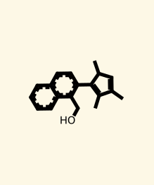 CC1=CC(C)C(c2ccc3ccccc3c2CO)=C1C